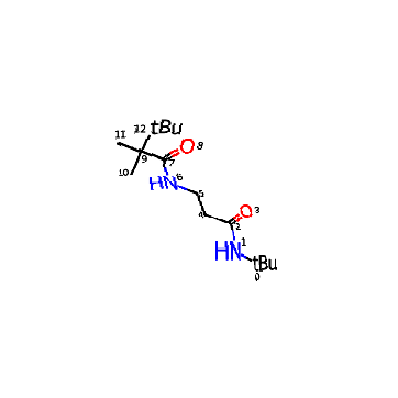 CC(C)(C)NC(=O)CCNC(=O)C(C)(C)C(C)(C)C